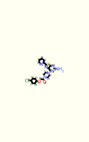 Nc1nc(N2CCN(C(=O)COc3ccc(Cl)cc3)CC2)c2nc(-c3ccccn3)sc2n1